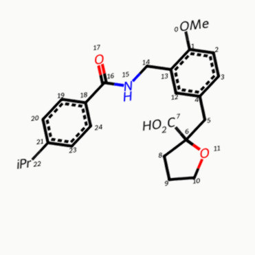 COc1ccc(CC2(C(=O)O)CCCO2)cc1CNC(=O)c1ccc(C(C)C)cc1